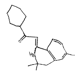 CC1(C)Cc2cc(Cl)ccc2C(=CC(=O)C2CCCCC2)N1